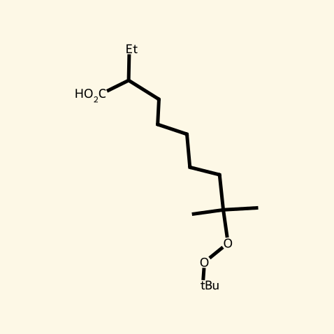 CCC(CCCCCC(C)(C)OOC(C)(C)C)C(=O)O